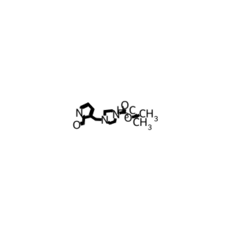 CC(C)(C)OC(=O)N1CCN(Cc2cccnc2C=O)CC1